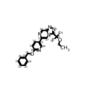 CCOC(F)(F)c1nnc2cnc(-c3ccc(OCc4ccccc4)nc3)cn12